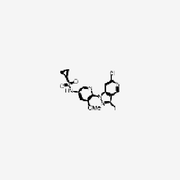 COc1cc(NS(=O)(=O)C2CC2)cnc1-n1nc(I)c2cnc(Cl)cc21